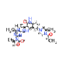 C=CC(=O)N1CCN(c2ccc3[nH]c(=O)c([C@H](C)Nc4nc(C)nc(N5C(=O)OC[C@@H]5CC)n4)cc3c2)C[C@H]1C